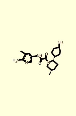 Cc1cc(NC(=O)C(=O)N2C[C@H](C)CC[C@H]2C2CCC(O)CC2)cnc1N